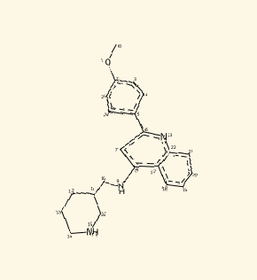 COc1ccc(-c2cc(NCC3CCCNC3)c3ccccc3n2)cc1